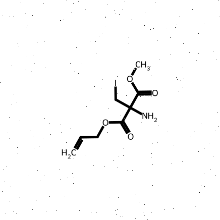 C=CCOC(=O)C(N)(CI)C(=O)OC